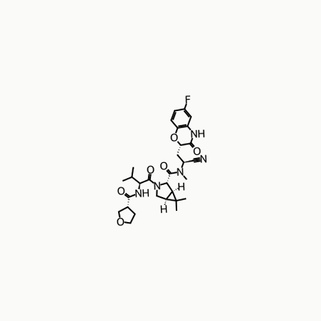 CC(C)[C@H](NC(=O)[C@@H]1CCOC1)C(=O)N1C[C@H]2[C@@H]([C@H]1C(=O)N(C)[C@H](C#N)C[C@@H]1Oc3ccc(F)cc3NC1=O)C2(C)C